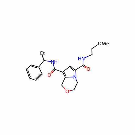 CC[C@@H](NC(=O)c1cc(C(=O)NCCOC)n2c1COCC2)c1ccccc1